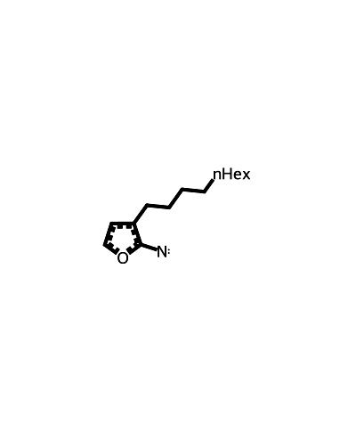 CCCCCCCCCCc1ccoc1[N]